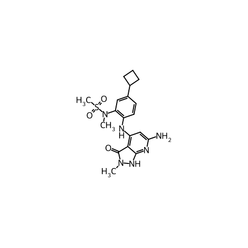 CN(c1cc(C2CCC2)ccc1Nc1cc(N)nc2[nH]n(C)c(=O)c12)S(C)(=O)=O